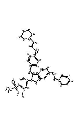 CS(=O)(=O)c1ccc(C2Sc3cc(OCc4ccccc4)ccc3C2Oc2ccc(OCCN3CCCCC3)cc2)cc1F